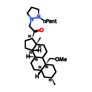 CCCCCN1CCCN1CC(=O)[C@H]1CC[C@H]2[C@@H]3CC[C@H]4C[C@@H](C)CC[C@]4(COC)C3CC[C@]12C